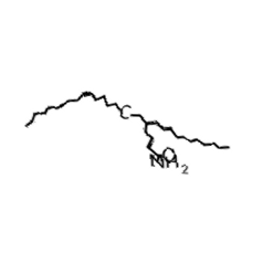 CCCCCCCC/C=C\CCCCCCCCC(CCCCCCCCCCC)CCCC(N)=O